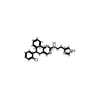 Clc1ccccc1C1Cc2cnc(NCCc3c[nH]cn3)nc2-c2ccccc21